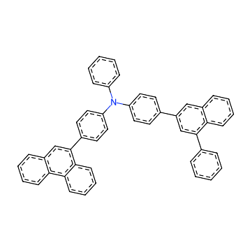 c1ccc(-c2cc(-c3ccc(N(c4ccccc4)c4ccc(-c5cc6ccccc6c6ccccc56)cc4)cc3)cc3ccccc23)cc1